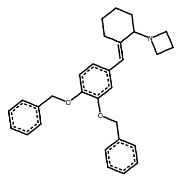 C(=C1CCCCC1N1CCC1)c1ccc(OCc2ccccc2)c(OCc2ccccc2)c1